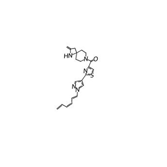 C=C/C=C\C=C\n1cc(-c2nc(C(=O)N3CCC4(CC3)CC(=C)N4)cs2)cn1